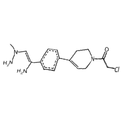 CN(N)/C=C(\N)c1ccc(C2=CCN(C(=O)CCl)CC2)cc1